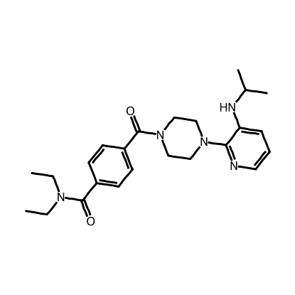 CCN(CC)C(=O)c1ccc(C(=O)N2CCN(c3ncccc3NC(C)C)CC2)cc1